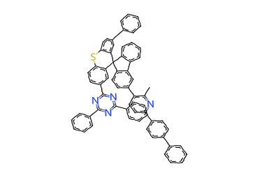 Cc1nc(-c2ccc(-c3ccccc3)cc2)ccc1-c1ccc2c(c1)-c1ccccc1C21c2cc(-c3ccccc3)ccc2Sc2ccc(-c3nc(-c4ccccc4)nc(-c4ccccc4)n3)cc21